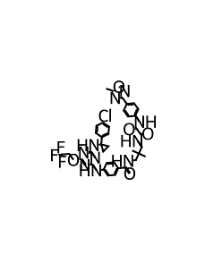 Cc1nc(-c2ccc(NC(=O)C(=O)NCC(C)(C)CNC(=O)c3ccc(Nc4nc(NC5(c6ccc(Cl)cc6)CC5)nc(OCC(F)(F)F)n4)cc3)cc2)no1